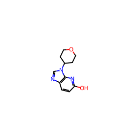 Oc1ccc2ncn(C3CCOCC3)c2n1